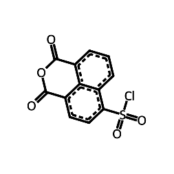 O=C1OC(=O)c2ccc(S(=O)(=O)Cl)c3cccc1c23